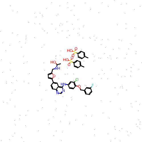 CC(O)NCc1ccc(-c2ccc3ncnc(Nc4ccc(OCc5cccc(F)c5)c(Cl)c4)c3c2)o1.Cc1ccc(S(=O)(=O)O)cc1.Cc1ccc(S(=O)(=O)O)cc1